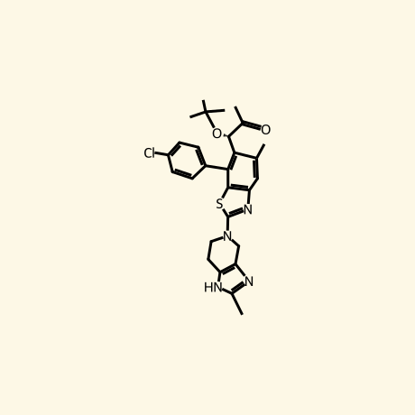 CC(=O)[C@@H](OC(C)(C)C)c1c(C)cc2nc(N3CCc4[nH]c(C)nc4C3)sc2c1-c1ccc(Cl)cc1